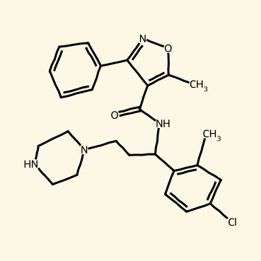 Cc1cc(Cl)ccc1C(CCN1CCNCC1)NC(=O)c1c(-c2ccccc2)noc1C